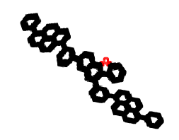 c1ccc(-c2ccc3ccc4c(-c5cccc(-c6ccc7c(c6)cc(-c6cccc(-c8ccc9ccc%10c(-c%11ccccc%11)ccc%11ccc8c9c%11%10)c6)c6c8ccccc8oc76)c5)ccc5ccc2c3c54)cc1